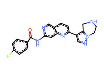 O=C(Nc1cc2nc(-c3cnn4c3CNCC4)ccc2cn1)c1ccc(F)cc1